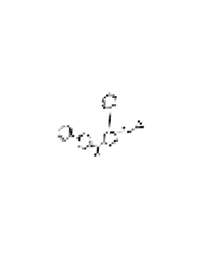 O=C(c1ccc(OCC2CC2)c(C#Cc2ccccn2)c1)N1CCN(c2ccccn2)CC1